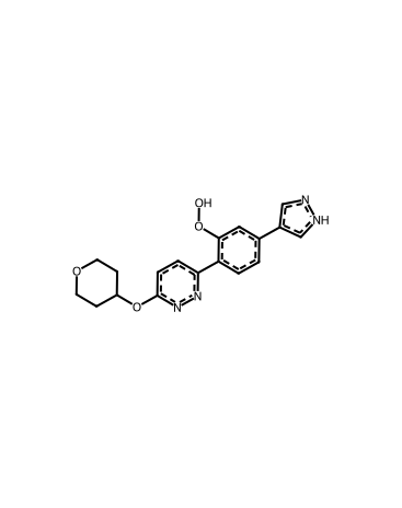 OOc1cc(-c2cn[nH]c2)ccc1-c1ccc(OC2CCOCC2)nn1